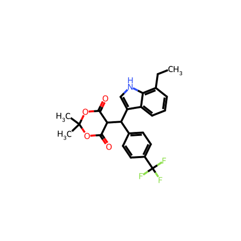 CCc1cccc2c(C(c3ccc(C(F)(F)F)cc3)C3C(=O)OC(C)(C)OC3=O)c[nH]c12